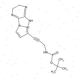 CC(C)(C)OC(=O)NCC#Cc1ccn2c3c([nH][n+]12)=NCCN=3